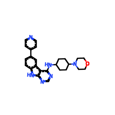 c1cc(-c2ccc3[nH]c4ncnc(NC5CCC(N6CCOCC6)CC5)c4c3c2)ccn1